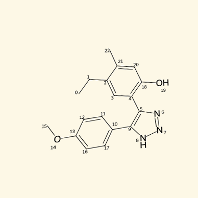 CCc1cc(-c2nn[nH]c2-c2ccc(OC)cc2)c(O)cc1C